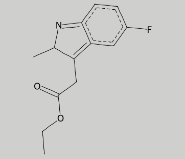 CCOC(=O)CC1=c2cc(F)ccc2=NC1C